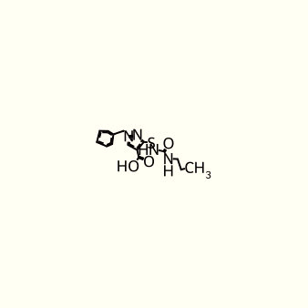 CCCNC(=O)NSc1nn(Cc2ccccc2)cc1C(=O)O